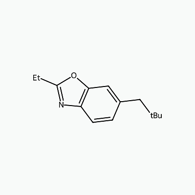 CCc1nc2ccc(CC(C)(C)C)cc2o1